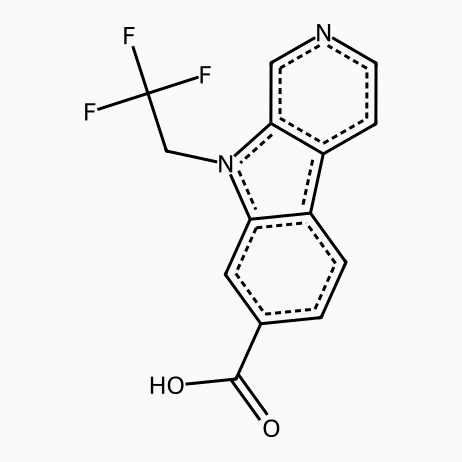 O=C(O)c1ccc2c3ccncc3n(CC(F)(F)F)c2c1